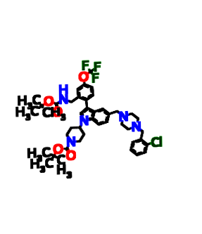 CC(C)(C)OC(=O)NCc1cc(OC(F)(F)F)ccc1-c1cn(C2CCN(C(=O)OC(C)(C)C)CC2)c2ccc(CN3CCN(Cc4ccccc4Cl)CC3)cc12